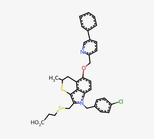 CC1Cc2c(OCc3ccc(-c4ccccc4)cn3)ccc3c2c(c(CSCCC(=O)O)n3Cc2ccc(Cl)cc2)S1